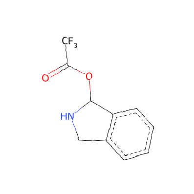 O=C(OC1NCc2ccccc21)C(F)(F)F